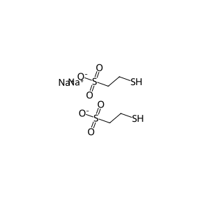 O=S(=O)([O-])CCS.O=S(=O)([O-])CCS.[Na+].[Na+]